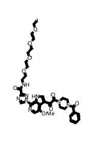 COc1cnc(-n2cnc(C(=O)NCCOCCOCCOCCOCI)n2)c2[nH]cc(C(=O)C(=O)N3CCN(C(=O)c4ccccc4)CC3)c12